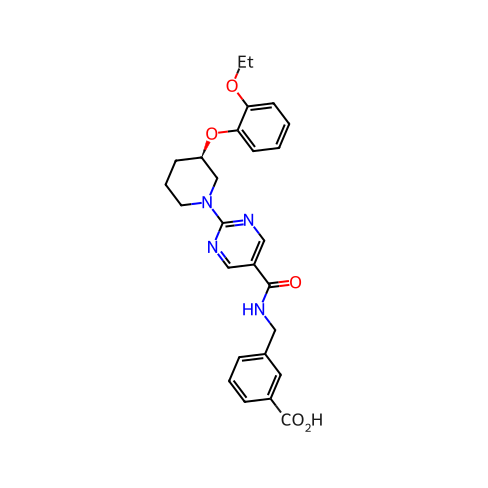 CCOc1ccccc1O[C@@H]1CCCN(c2ncc(C(=O)NCc3cccc([11C](=O)O)c3)cn2)C1